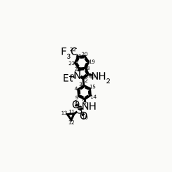 CCn1c(-c2ccc(NS(=O)(=O)C3CC3)cc2)c(N)c2ccc(C(F)(F)F)cc21